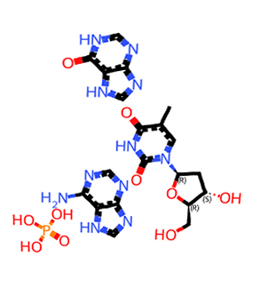 Cc1cn([C@H]2C[C@H](O)[C@@H](CO)O2)c(=O)[nH]c1=O.Nc1ncnc2nc[nH]c12.O=P(O)(O)O.O=c1[nH]cnc2nc[nH]c12